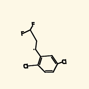 FC(F)C[CH]c1cc(Cl)ccc1Cl